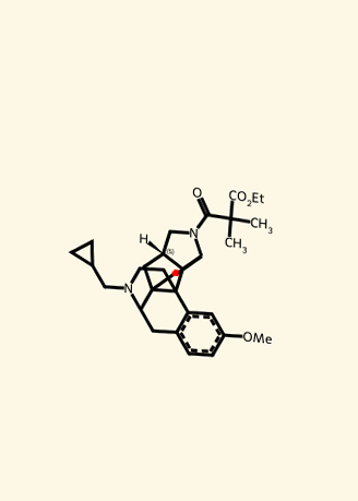 CCOC(=O)C(C)(C)C(=O)N1C[C@H]2CC34CCC1C2C31CCN(CC2CC2)C4Cc2ccc(OC)cc21